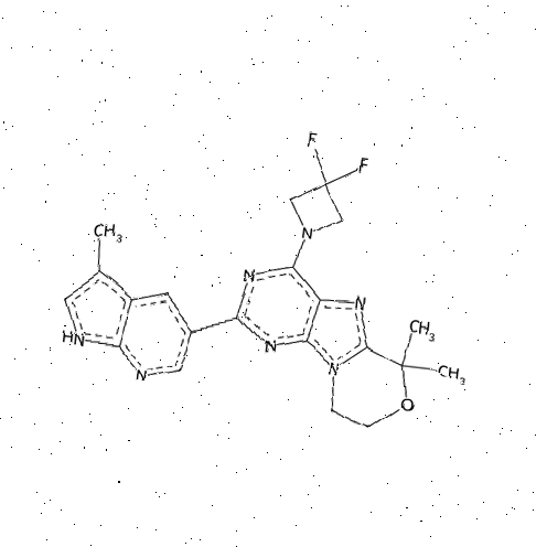 Cc1c[nH]c2ncc(-c3nc(N4CC(F)(F)C4)c4nc5n(c4n3)CCOC5(C)C)cc12